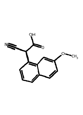 COc1ccc2cccc(C(C#N)C(=O)O)c2c1